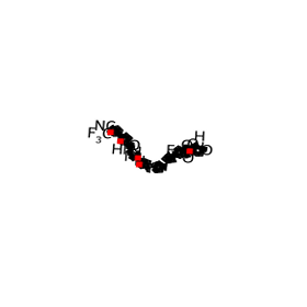 N#Cc1ccc(N2CCC(C(=O)Nc3ncc(N4CCC(CN5CCN(C[C@H]6CCN(c7cc8c(cc7F)C(=O)N(C7CCC(=O)NC7=O)C8=O)C6)CC5)CC4)cn3)CC2)cc1C(F)(F)F